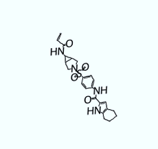 C=CC(=O)NC1C2CN(S(=O)(=O)c3ccc(NC(=O)c4cc5c([nH]4)CCCC5)cc3)CC21